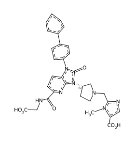 Cn1c(C(=O)O)cnc1CN1CC[C@H](n2c(=O)n(-c3ccc(-c4ccccc4)cc3)c3ccc(C(=O)NCC(=O)O)nc32)C1